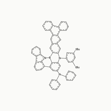 CC(C)(C)c1cc(N2c3cc4cc5c6ccccc6c6ccccc6c5cc4cc3B3c4c(cc(N(c5ccccc5)c5ccccc5)cc42)-c2cccc4c5ccccc5n3c24)cc(C(C)(C)C)c1